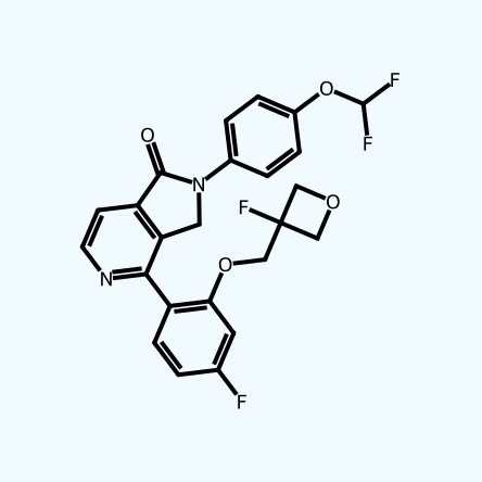 O=C1c2ccnc(-c3ccc(F)cc3OCC3(F)COC3)c2CN1c1ccc(OC(F)F)cc1